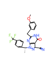 COc1cccc(Cc2nc3c(c(C#N)nn3[C@H](C)c3ccc(C(F)(F)F)cc3)c(=O)[nH]2)c1